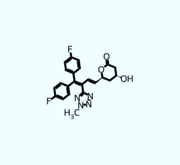 Cn1nnc(C(C=C[C@@H]2C[C@@H](O)CC(=O)O2)=C(c2ccc(F)cc2)c2ccc(F)cc2)n1